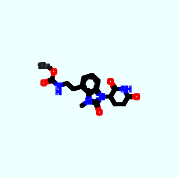 Cn1c(=O)n(C2CCC(=O)NC2=O)c2cccc(CCNC(=O)OC(C)(C)C)c21